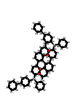 Cc1ccc2c(-c3c(-c4ccc(N(c5ccccc5)c5ccc(-c6ccccc6)cc5)cc4)ccc4cc(C)ccc34)c(-c3ccc(N(c4ccccc4)c4ccc(-c5ccccc5)cc4)cc3)ccc2c1